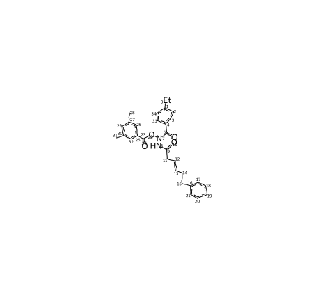 CCc1ccc(C(=O)N(NC(=O)CC=CCCc2ccccc2)OC(=O)c2cc(C)cc(C)c2)cc1